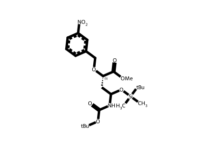 COC(=O)[C@H](CC(NC(=O)OC(C)(C)C)O[Si](C)(C)C(C)(C)C)OCc1cccc([N+](=O)[O-])c1